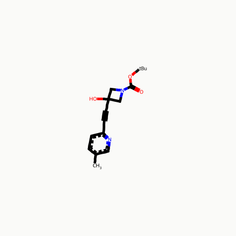 Cc1ccc(C#CC2(O)CN(C(=O)OC(C)(C)C)C2)nc1